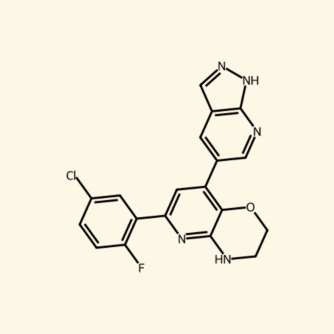 Fc1ccc(Cl)cc1-c1cc(-c2cnc3[nH]ncc3c2)c2c(n1)NCCO2